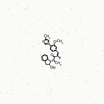 COc1cc(/C=C(/F)C(=O)N(C)[C@@H]2c3ccccc3C[C@@H]2O)ccc1-n1cnc(C)c1